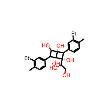 CCc1cc(C2C(O)[C@@]3(O)C(c4ccc(C)c(CC)c4)[C@@](O)([C@H](O)CO)[C@@]23O)ccc1C